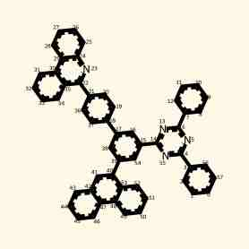 c1ccc(-c2nc(-c3ccccc3)nc(-c3cc(-c4ccc(-c5nc6ccccc6c6ccccc56)cc4)cc(-c4cc5ccccc5c5ccccc45)c3)n2)cc1